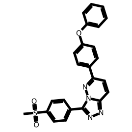 CS(=O)(=O)c1ccc(-c2nnc3ccc(-c4ccc(Oc5ccccc5)cc4)nn23)cc1